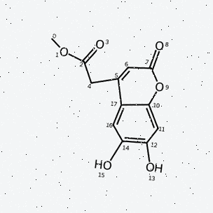 COC(=O)Cc1cc(=O)oc2cc(O)c(O)cc12